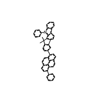 CC1(C)c2ccc(-c3ccc4ccc5c(-c6ccccc6)ccc6ccc3c4c65)cc2-c2ccc3c4ccccc4n(-c4ccccc4)c3c21